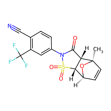 C[C@]12C=C[C@H](O1)[C@H]1[C@@H]2C(=O)N(c2ccc(C#N)c(C(F)(F)F)c2)S1(=O)=O